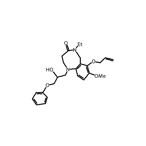 C=CCOc1c(OC)ccc2c1CN(CC)C(=O)CCN2CC(O)COc1ccccc1